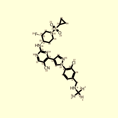 [2H]C([2H])([2H])NCc1ccc(-n2cc(-c3nc(N[C@H]4CCN(S(=O)(=O)C5CC5)C[C@H]4F)ncc3C#N)cn2)c(Cl)c1